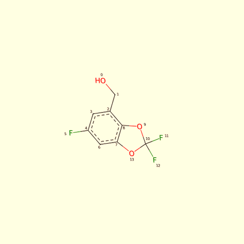 OCc1cc(F)cc2c1OC(F)(F)O2